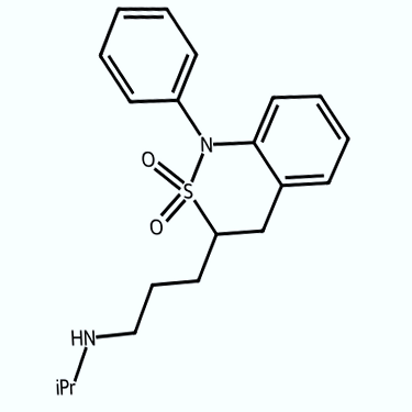 CC(C)NCCCC1Cc2ccccc2N(c2ccccc2)S1(=O)=O